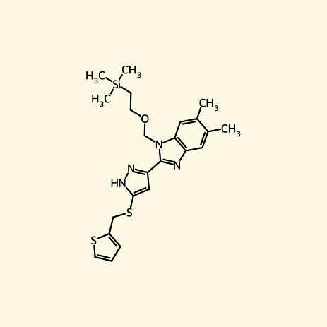 Cc1cc2nc(-c3cc(SCc4cccs4)[nH]n3)n(COCC[Si](C)(C)C)c2cc1C